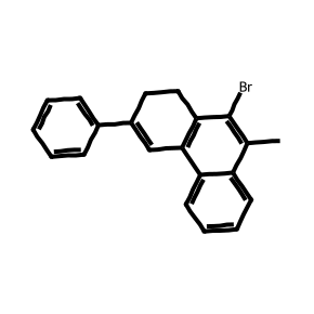 Cc1c(Br)c2c(c3ccccc13)C=C(c1ccccc1)CC2